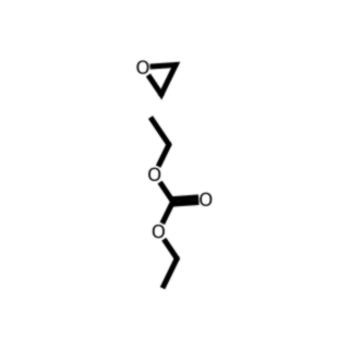 C1CO1.CCOC(=O)OCC